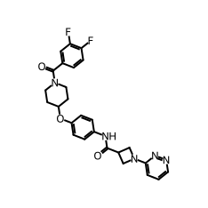 O=C(Nc1ccc(OC2CCN(C(=O)c3ccc(F)c(F)c3)CC2)cc1)C1CN(c2cccnn2)C1